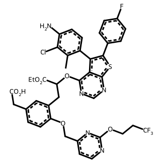 CCOC(=O)C(Cc1cc(CC(=O)O)ccc1OCc1ccnc(OCCC(F)(F)F)n1)Oc1ncnc2sc(-c3ccc(F)cc3)c(-c3ccc(N)c(Cl)c3C)c12